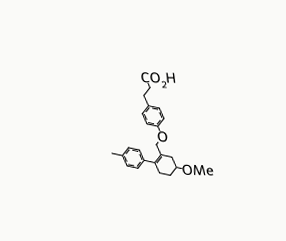 COC1CCC(c2ccc(C)cc2)=C(COc2ccc(CCC(=O)O)cc2)C1